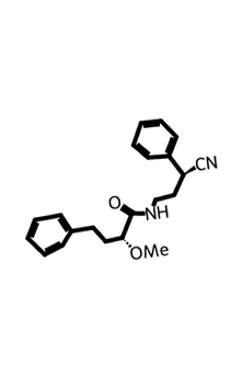 CO[C@H](CCc1ccccc1)C(=O)NCC[C@H](C#N)c1ccccc1